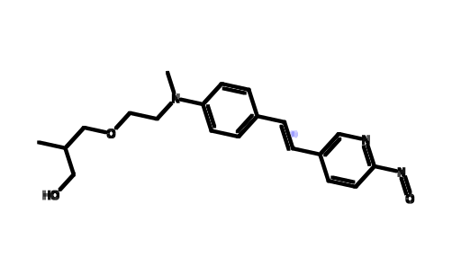 CC(CO)COCCN(C)c1ccc(/C=C/c2ccc(N=O)nc2)cc1